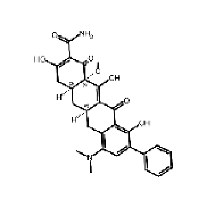 CO[C@@]12C(=O)C(C(N)=O)=C(O)C[C@@H]1C[C@@H]1Cc3c(N(C)C)cc(-c4ccccc4)c(O)c3C(=O)C1=C2O